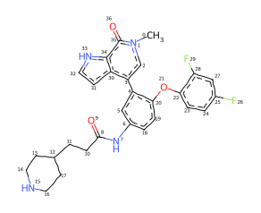 Cn1cc(-c2cc(NC(=O)CCC3CCNCC3)ccc2Oc2ccc(F)cc2F)c2cc[nH]c2c1=O